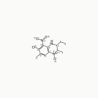 CCC(CC)Nc1c([N+](=O)[O-])cc(C)c(Cl)c1[N+](=O)[O-]